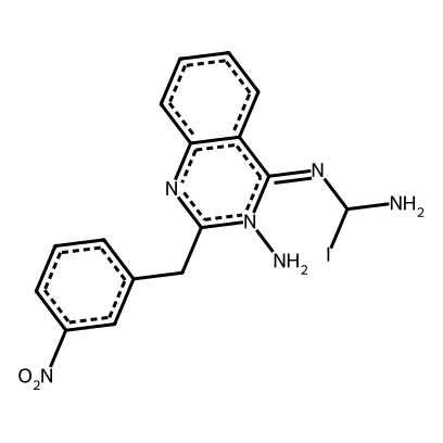 NC(I)/N=c1/c2ccccc2nc(Cc2cccc([N+](=O)[O-])c2)n1N